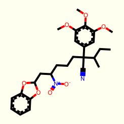 CCC(C)C(C#N)(CCCC(CC1Oc2ccccc2O1)[N+](=O)[O-])c1cc(OC)c(OC)c(OC)c1